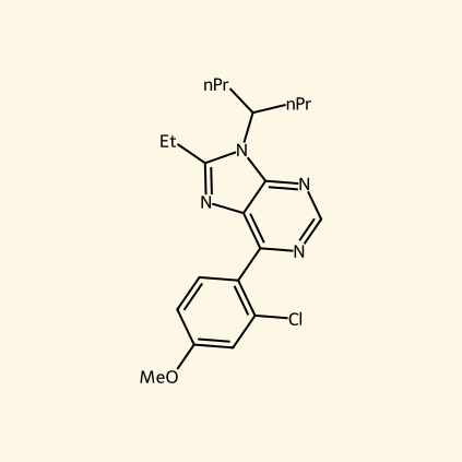 CCCC(CCC)n1c(CC)nc2c(-c3ccc(OC)cc3Cl)ncnc21